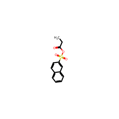 CCC(=O)OS(=O)(=O)c1ccc2ccccc2c1